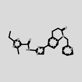 CCc1nc(C)c(C(=O)Nc2nc(-c3ccc4c(c3)CCC(=O)N4Cc3ccccn3)cs2)o1